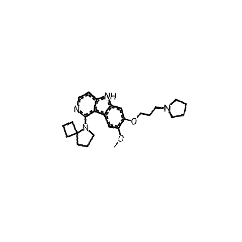 COc1cc2c(cc1OCCCN1CCCC1)[nH]c1ccnc(N3CCCC34CCC4)c12